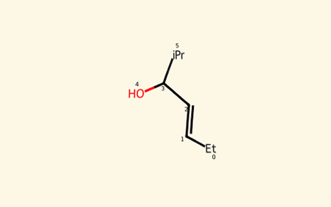 [CH2]CC=CC(O)C(C)C